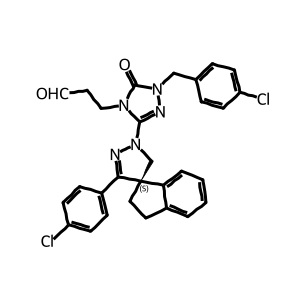 O=CCCn1c(N2C[C@@]3(CCc4ccccc43)C(c3ccc(Cl)cc3)=N2)nn(Cc2ccc(Cl)cc2)c1=O